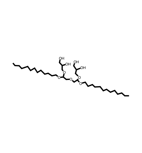 CCCCCCCCCCCCCOC(COCC(OCCCCCCCCCCCCC)OCC(O)CO)OCC(O)CO